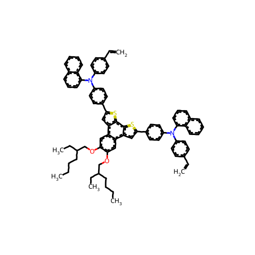 C=Cc1ccc(N(c2ccc(-c3cc4c5cc(OCC(CC)CCCC)c(OCC(CC)CCCC)cc5c5cc(-c6ccc(N(c7ccc(C=C)cc7)c7cccc8ccccc78)cc6)sc5c4s3)cc2)c2cccc3ccccc23)cc1